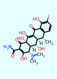 C[C@H]1c2ccc(I)c(O)c2C(=O)C2=C(O)[C@]3(O)C(=O)C(C(N)=O)=C(O)[C@@H](N(C)C)[C@@H]3[C@@H](O)[C@@H]21